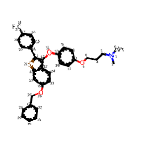 CCCN(C)CCCOc1ccc(Oc2c(-c3ccc(C(F)(F)F)cc3)sc3cc(OCc4ccccc4)ccc23)cc1